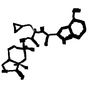 COc1cccc2[nH]c(C(=O)N[C@@H](CC3CC3)C(=O)N[C@@]3(C#N)CCC4CNC(=O)[C@@H]4C3)cc12